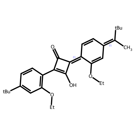 CCOc1cc(C(C)(C)C)ccc1C1=C(O)/C(=c2/cc/c(=C(/C)C(C)(C)C)cc2OCC)C1=O